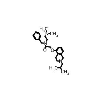 CC(C)CN1CCc2c(cccc2OCC(=O)N(CCN(C)C)Cc2ccccc2)C1